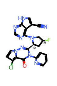 N#Cc1c[nH]c2ncnc(N3C[C@@H](F)C[C@H]3c3nn4ccc(Cl)c4c(=O)n3-c3ccccn3)c12